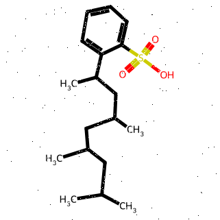 CC(C)CC(C)CC(C)CC(C)c1ccccc1S(=O)(=O)O